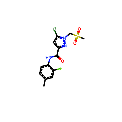 Cc1ccc(NC(=O)c2cc(Cl)n(CS(C)(=O)=O)n2)c(F)c1